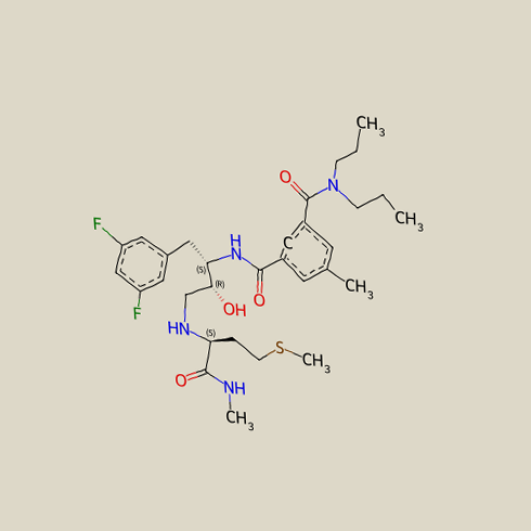 CCCN(CCC)C(=O)c1cc(C)cc(C(=O)N[C@@H](Cc2cc(F)cc(F)c2)[C@H](O)CN[C@@H](CCSC)C(=O)NC)c1